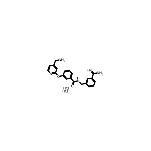 Cl.Cl.N=C(N)c1cccc(CNC(=O)c2cccc(Oc3cc(CN)ccn3)c2)c1